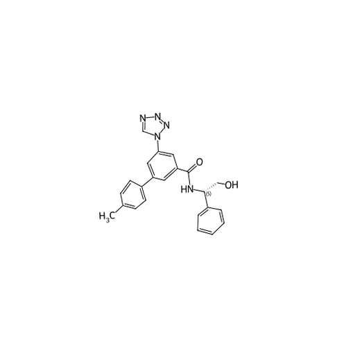 Cc1ccc(-c2cc(C(=O)N[C@H](CO)c3ccccc3)cc(-n3cnnn3)c2)cc1